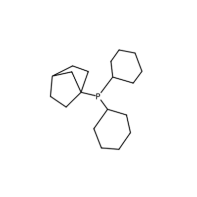 C1CCC(P(C2CCCCC2)C23CCC(CC2)C3)CC1